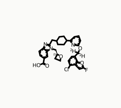 [2H]C([2H])(Oc1cccc(C2CCC(Cc3nc4ccc(C(=O)O)cc4n3C[C@@H]3CCO3)CC2)n1)c1ccc(Cl)c2cc(F)oc12